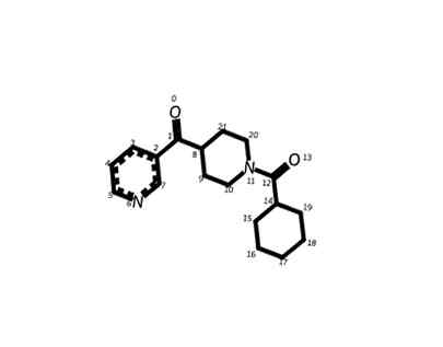 O=C(c1cccnc1)C1CCN(C(=O)C2CCCCC2)CC1